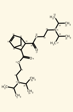 CC(C)N(CCOC(=O)C1C2C=CC(C2)C1C(=O)OCCN(C(C)C)C(C)C)C(C)C